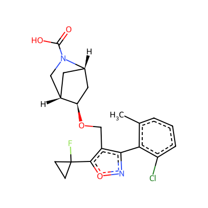 Cc1cccc(Cl)c1-c1noc(C2(F)CC2)c1CO[C@@H]1C[C@@H]2C[C@H]1CN2C(=O)O